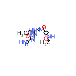 C=CC(=O)Nc1ccc(C(=O)N2CC(Nc3nc4cnc(-c5cn[nH]c5)c(OC(C)C)n4n3)C2)cc1